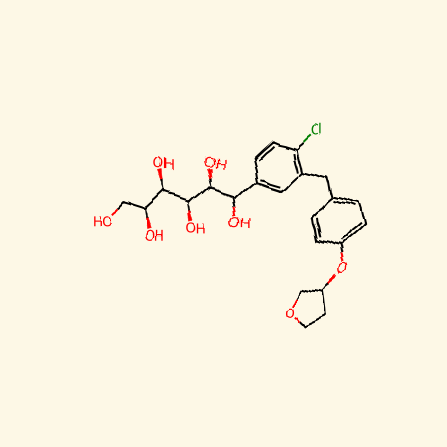 OC[C@H](O)[C@@H](O)[C@H](O)[C@@H](O)C(O)c1ccc(Cl)c(Cc2ccc(O[C@H]3CCOC3)cc2)c1